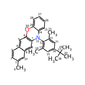 Cc1ccc2cc3c(cc2c1)N(c1c(C)cc(C(C)(C)C)cc1C)c1ccccc1O3